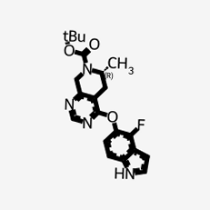 C[C@@H]1Cc2c(ncnc2Oc2ccc3[nH]ccc3c2F)CN1C(=O)OC(C)(C)C